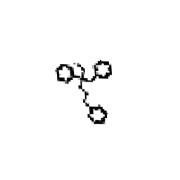 [CH2]CC(CCCc1ccccc1)(Cc1ccccc1)c1ccccc1